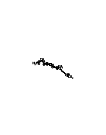 C=CC(=O)OCCCCCCCCOc1ccc(/C=C/C(=O)Oc2ccc(-c3ccc(C(=O)OCCC(C)COC(=O)C=C)cc3)cc2)cc1C